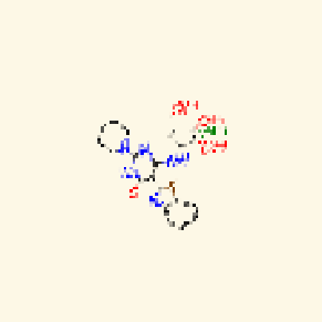 Cl.O=c1[nH]c(N2CCCCC2)nc(N[C@@H]2C[C@H](CO)[C@@H](O)[C@H]2O)c1-c1nc2ccccc2s1